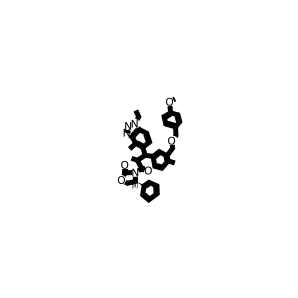 CCn1nnc2c(C)c(C(c3ccc(C)c(COCc4ccc(OC)cc4)c3)C(C)C(=O)N3C(=O)OC[C@H]3c3ccccc3)ccc21